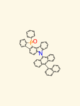 O=P1(c2ccccc2)c2ccccc2-c2ccc3c(c21)c1ccccc1n3-c1c2ccccc2c(-c2cccc3ccccc23)c2ccccc12